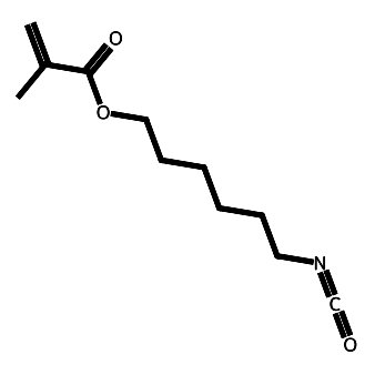 C=C(C)C(=O)OCCCCCCN=C=O